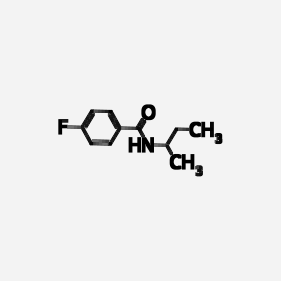 CCC(C)NC(=O)c1ccc(F)cc1